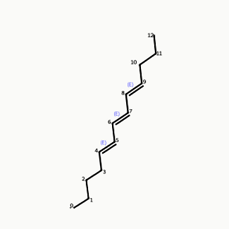 [CH2]CCC/C=C/C=C/C=C/CCC